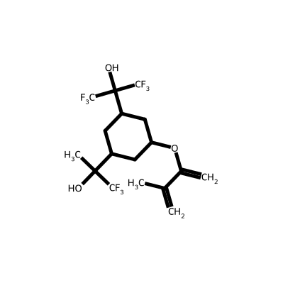 C=C(C)C(=C)OC1CC(C(C)(O)C(F)(F)F)CC(C(O)(C(F)(F)F)C(F)(F)F)C1